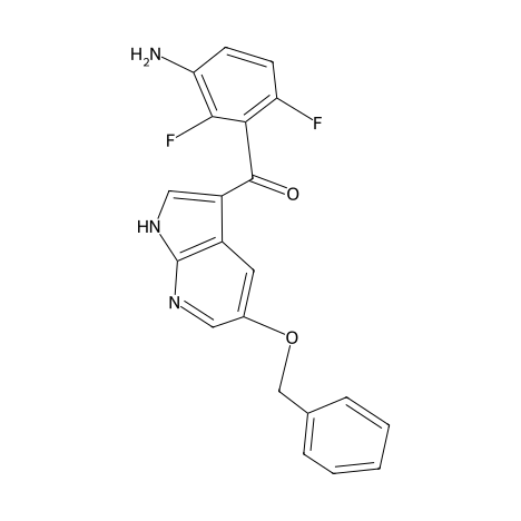 Nc1ccc(F)c(C(=O)c2c[nH]c3ncc(OCc4ccccc4)cc23)c1F